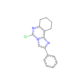 Clc1nc2c(c3nc(-c4ccccc4)cn13)CCCC2